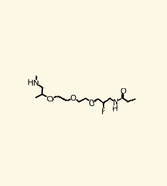 CCC(=O)NCC(F)COCCOCCOC(C)CNC